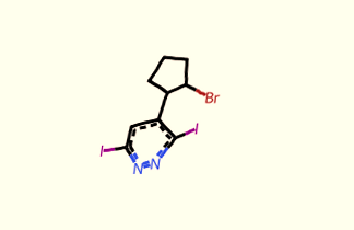 BrC1CCCC1c1cc(I)nnc1I